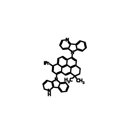 CC(C)c1cc(-n2c3c(c4ccccc42)NCC=C3)c2cc3c4c(cc(-n5c6ccccc6c6ncccc65)c5ccc1c2c54)CCC3(C)C